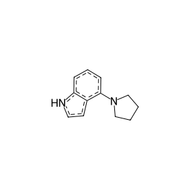 c1cc(N2CCCC2)c2cc[nH]c2c1